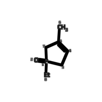 CCP1(=O)CC=C(C)C1